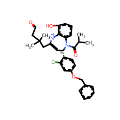 CC(C)C(=O)N1c2cccc(O)c2NC(CC(C)(C)CC=O)=C[C@H]1c1ccc(OCc2ccccc2)cc1Cl